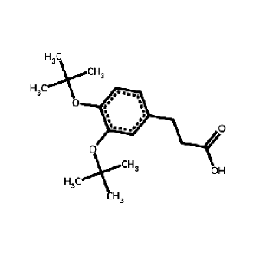 CC(C)(C)Oc1ccc(CCC(=O)O)cc1OC(C)(C)C